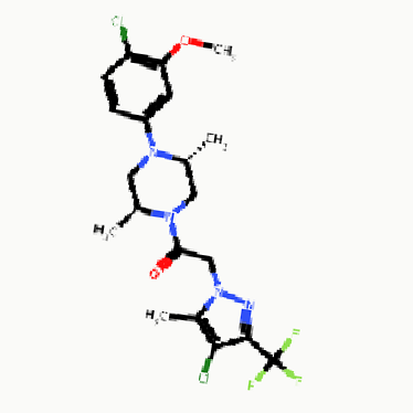 COc1cc(N2C[C@H](C)N(C(=O)Cn3nc(C(F)(F)F)c(Cl)c3C)C[C@H]2C)ccc1Cl